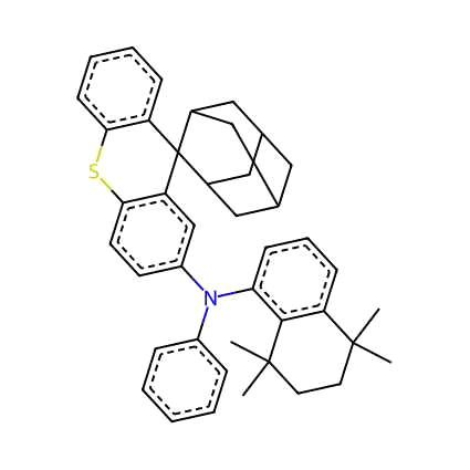 CC1(C)CCC(C)(C)c2c(N(c3ccccc3)c3ccc4c(c3)C3(c5ccccc5S4)C4CC5CC(C4)CC3C5)cccc21